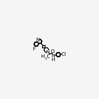 CC(C(=O)Nc1ccc(Cl)cc1)N1CCC2(CC1)CC(c1ccnc3ccc(F)cc13)C2